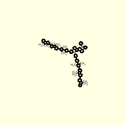 Cc1cc(-c2ccc3c(c2)C(C)(C)c2cc(-c4ccc5c(c4)C(C)(C)c4ccccc4-5)ccc2-3)cc(C)c1-c1ccc(-c2ccc(N(c3ccc(-c4ccc(-c5c(C)cc(-c6ccc7c(c6)C(C)(C)c6cc(-c8ccc9c(c8)C(C)(C)c8ccccc8-9)ccc6-7)cc5C)cc4)cc3)c3cc4c5ccccc5c(N(c5ccccc5)c5ccccc5)cc4c4ccccc34)cc2)cc1